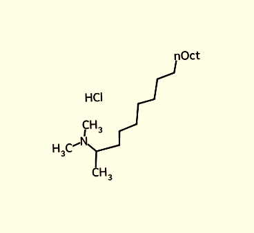 CCCCCCCCCCCCCCCC(C)N(C)C.Cl